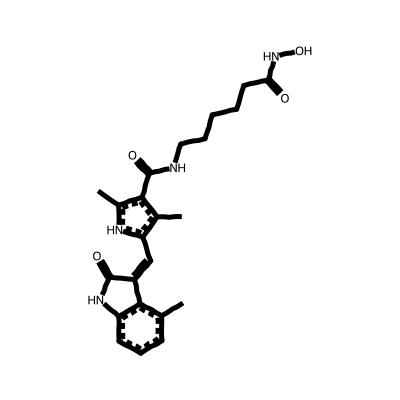 Cc1cccc2c1/C(=C/c1[nH]c(C)c(C(=O)NCCCCCC(=O)NO)c1C)C(=O)N2